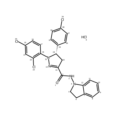 Cl.O=C(NN1CCc2ccccc21)C1=NN(c2ccc(Cl)cc2Cl)[C@H](c2ccc(Cl)cc2)C1